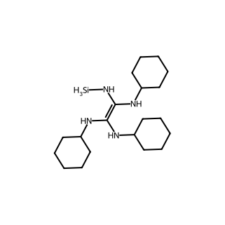 [SiH3]NC(NC1CCCCC1)=C(NC1CCCCC1)NC1CCCCC1